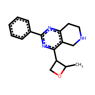 CC1OCC1c1nc(-c2ccccc2)nc2c1CNCC2